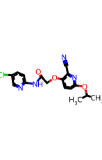 CC(C)Oc1ccc(OCC(=O)Nc2ccc(Cl)cn2)c(C#N)n1